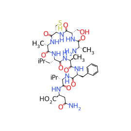 CC(C)C[C@H](NC(=O)[C@H](C)NC(=O)[C@H](CS)NC(=O)[C@H](CO)NC(=O)[C@H](C)N)C(=O)N[C@@H](C)C(=O)N[C@@H](Cc1ccccc1)C(=O)N[C@H](C(=O)N[C@@H](CC(N)=O)C(=O)O)C(C)C